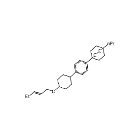 CCC=CCOC1CCC(c2ccc(C34CCC(CCC)(CC3)CC4)cc2)CC1